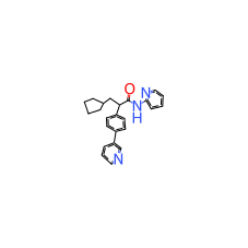 O=C(Nc1ccccn1)C(CC1CCCC1)c1ccc(-c2cccnc2)cc1